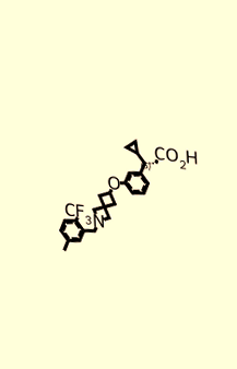 Cc1ccc(C(F)(F)F)c(CN2CC3(CC(Oc4cccc([C@@H](CC(=O)O)C5CC5)c4)C3)C2)c1